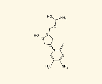 Cc1cn([C@H]2C[C@H](O)[C@@H](COP(N)O)O2)c(=O)nc1N